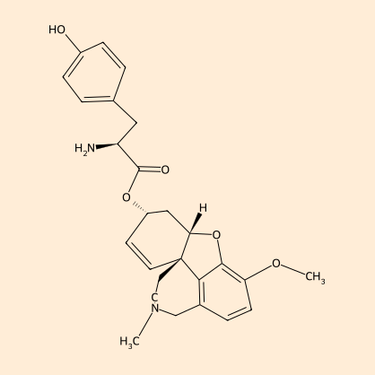 COc1ccc2c3c1O[C@H]1C[C@@H](OC(=O)[C@@H](N)Cc4ccc(O)cc4)C=C[C@@]31CCN(C)C2